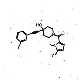 Cn1c(Cl)ccc1C(=O)N1CCC(O)(C#Cc2cccc(Cl)c2)CC1